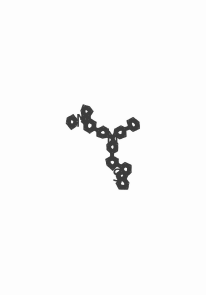 c1ccc(-c2ccc(N(c3ccc(-c4cccc(-c5cccc6c5sc5ccccc56)c4)cc3)c3ccc(-c4ccc5c(c4)c4ccccc4n5-c4ccccc4)cc3)cc2)cc1